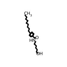 CCCCCCCCCCc1ccc(C(=O)NCCCCCCO)cc1